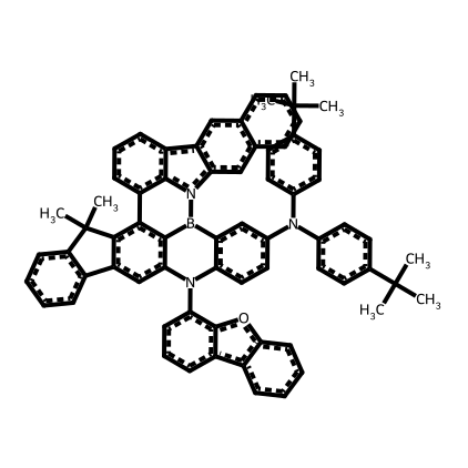 CC(C)(C)c1ccc(N(c2ccc(C(C)(C)C)cc2)c2ccc3c(c2)B2c4c(cc5c(c4-c4cccc6c7cc8ccccc8cc7n2c46)C(C)(C)c2ccccc2-5)N3c2cccc3c2oc2ccccc23)cc1